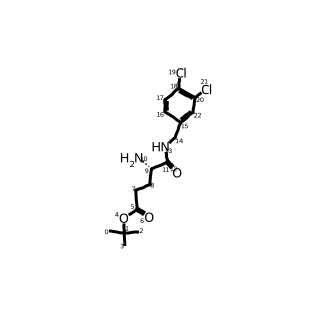 CC(C)(C)OC(=O)CC[C@H](N)C(=O)NCc1ccc(Cl)c(Cl)c1